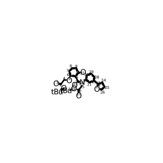 CC(C)(C)OC(=O)COc1cccc2c1C(=O)N(CC(=O)OC(C)(C)C)c1cc(-c3ccco3)ccc1O2